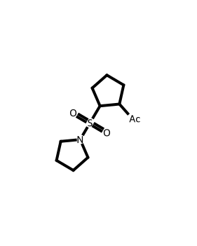 CC(=O)C1CCCC1S(=O)(=O)N1CCCC1